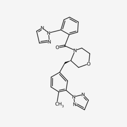 Cc1ccc(C[C@@H]2COCCN2C(=O)c2ccccc2-n2nccn2)cc1-n1nccn1